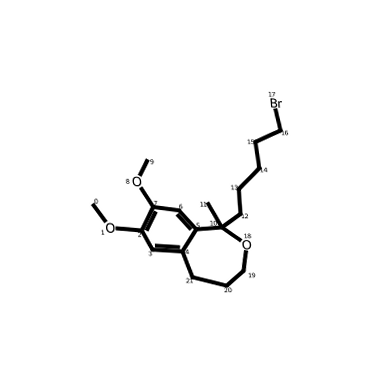 COc1cc2c(cc1OC)C(C)(CCCCCBr)OCCC2